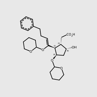 O=C(O)C[C@H]1[C@H](C(=CCCc2ccccc2)OC2CCCCO2)[C@H](OC2CCCCO2)C[C@H]1O